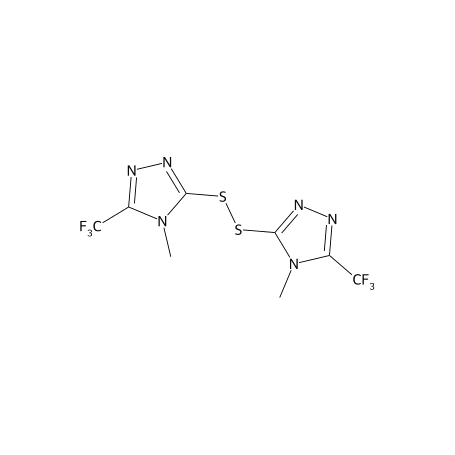 Cn1c(SSc2nnc(C(F)(F)F)n2C)nnc1C(F)(F)F